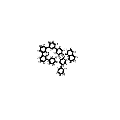 c1ccc(-c2ccc(N(c3ccc(-c4cccc(-c5cccc6c5oc5c(-c7ccccc7)cccc56)c4)cc3)c3cccc4ccccc34)cc2)cc1